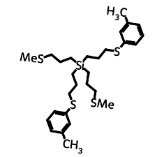 CSCCC[Si](CCCSC)(CCCSc1cccc(C)c1)CCCSc1cccc(C)c1